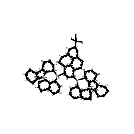 CC(C)(C)c1cc2ccc3c(N(c4cccc5ccccc45)c4cccc5c4sc4ccccc45)cc(N(c4cccc5ccccc45)c4cccc5c4sc4ccccc45)c4ccc(c1)c2c34